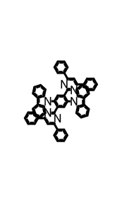 c1ccc(-c2cc(-c3ccccc3)nc(-c3cc(-n4c5ccccc5c5ccccc54)c(-c4nc(-c5ccccc5)cc(-c5ccccc5)n4)cc3-n3c4ccccc4c4ccccc43)n2)cc1